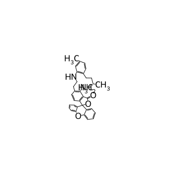 Cc1ccc(CCC(C)C)c(NCCc2ccc3c(c2N)C(=O)OC32c3ccccc3Oc3ccccc32)c1